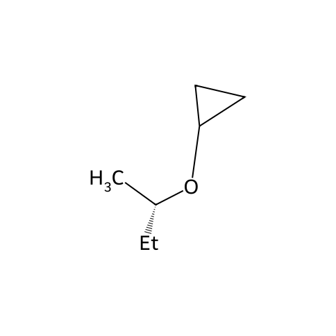 CC[C@H](C)OC1CC1